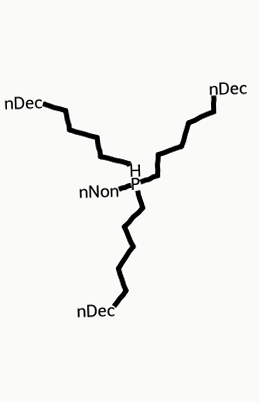 CCCCCCCCCCCCCCC[PH](CCCCCCCCC)(CCCCCCCCCCCCCCC)CCCCCCCCCCCCCCC